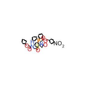 O=C(COc1ccccc1)NCC(=O)S[C@H]1CC(=O)N1C(C(=O)OCc1ccc([N+](=O)[O-])cc1)=P(c1ccccc1)(c1ccccc1)c1ccccc1